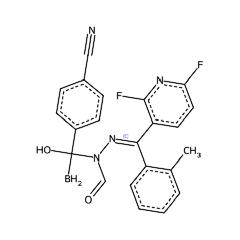 BC(O)(c1ccc(C#N)cc1)N(C=O)/N=C(\c1ccccc1C)c1ccc(F)nc1F